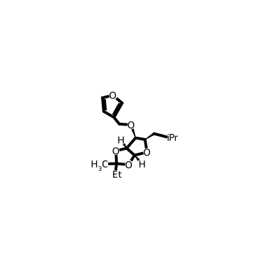 CCC1(C)O[C@H]2O[C@H](CC(C)C)[C@H](OCc3ccoc3)[C@H]2O1